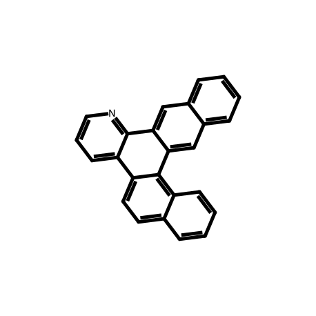 c1ccc2cc3c(cc2c1)c1ncccc1c1ccc2ccccc2c13